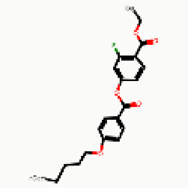 CCCCCCCCCCCCCCOc1ccc(C(=O)Oc2ccc(C(=O)OCC(C)CC)c(F)c2)cc1